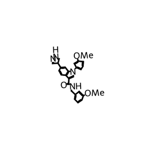 COc1cccc(CNC(=O)c2cn(-c3cccc(OC)c3)c3cc(C4C=NNC4)ccc23)c1